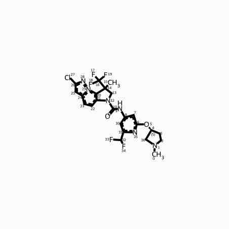 CN1CC[C@H](Oc2cc(NC(=O)N3CC(C)(C(F)(F)F)c4c3ccc3cc(Cl)nn43)cc(C(F)F)n2)C1